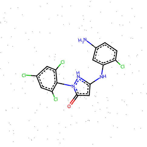 Nc1ccc(Cl)c(Nc2cc(=O)n(-c3c(Cl)cc(Cl)cc3Cl)[nH]2)c1